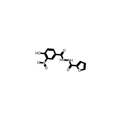 O=C(NNC(=O)c1ccco1)c1ccc(O)c([N+](=O)[O-])c1